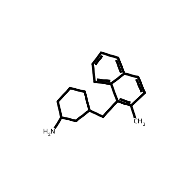 Cc1ccc2ccccc2c1CC1CCCC(N)C1